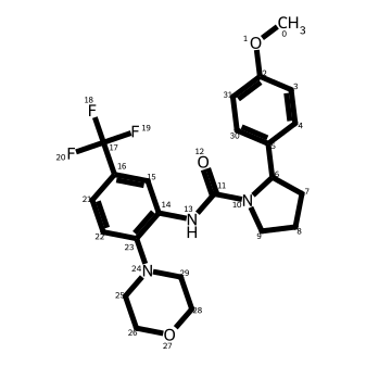 COc1ccc(C2CCCN2C(=O)Nc2cc(C(F)(F)F)ccc2N2CCOCC2)cc1